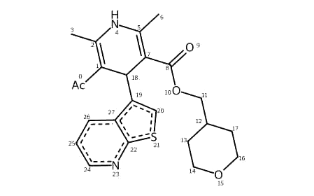 CC(=O)C1=C(C)NC(C)=C(C(=O)OCC2CCOCC2)C1c1csc2ncccc12